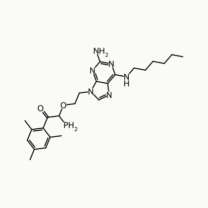 CCCCCCNc1nc(N)nc2c1ncn2CCOC(P)C(=O)c1c(C)cc(C)cc1C